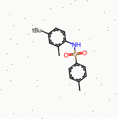 Cc1ccc(S(=O)(=O)Nc2ccc(C(C)(C)C)cc2C)cc1